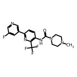 CN1CCN(C(=O)Nc2ccc(-c3cncc(F)c3)nc2C(F)(F)F)CC1